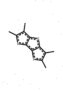 Cc1sc2c(sc3c(C)c(C)sc32)c1C